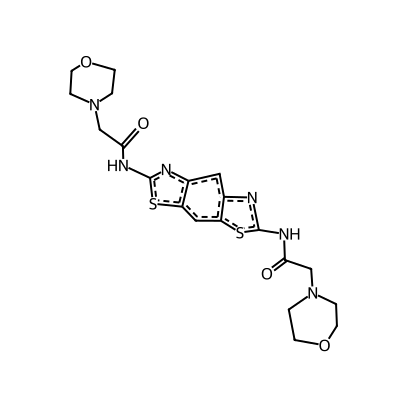 O=C(CN1CCOCC1)Nc1nc2cc3nc(NC(=O)CN4CCOCC4)sc3cc2s1